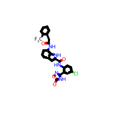 O=C(Cc1ccccc1C(F)(F)F)Nc1cccc2cc(C(=O)Nc3ccc(Cl)cc3-c3noc(=O)[nH]3)[nH]c12